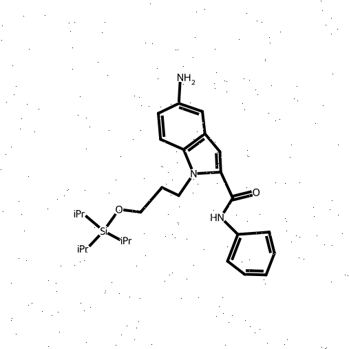 CC(C)[Si](OCCCn1c(C(=O)Nc2ccccc2)cc2cc(N)ccc21)(C(C)C)C(C)C